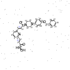 O=C(/C=C/c1cccc(/C=C/C(=O)N2CCN(c3ccc(OCc4ccccc4)cc3)CC2)n1)NO